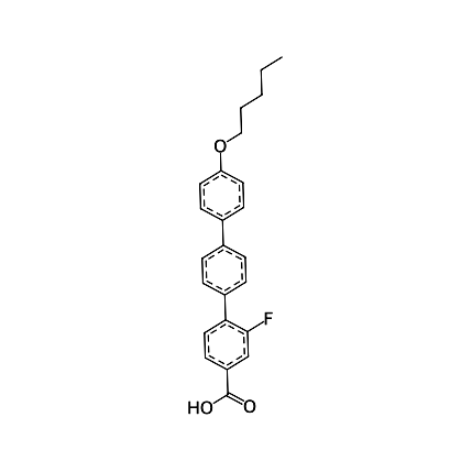 CCCCCOc1ccc(-c2ccc(-c3ccc(C(=O)O)cc3F)cc2)cc1